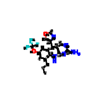 CCCc1cc(OC(F)(F)F)ccc1Nc1nc(N)ncc1Cc1cocn1